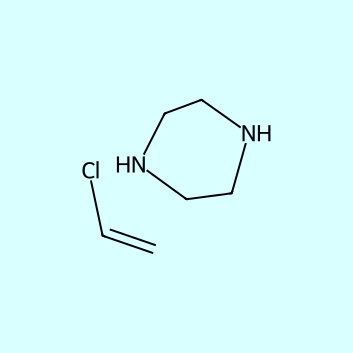 C1CNCCN1.C=CCl